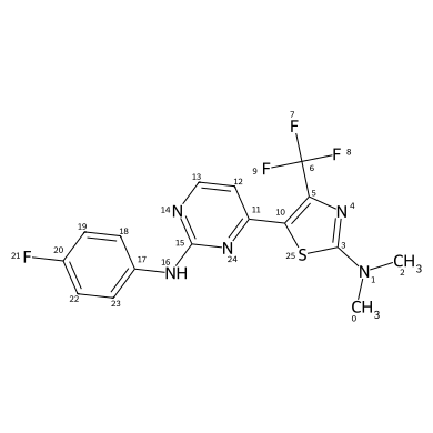 CN(C)c1nc(C(F)(F)F)c(-c2ccnc(Nc3ccc(F)cc3)n2)s1